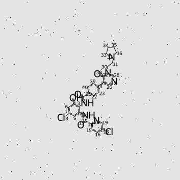 O=C(Nc1c(O)cc(Cl)cc1NC(=O)c1ccc(Cl)cn1)c1ccc(-c2cncn(CCN3CCCC3)c2=O)cc1